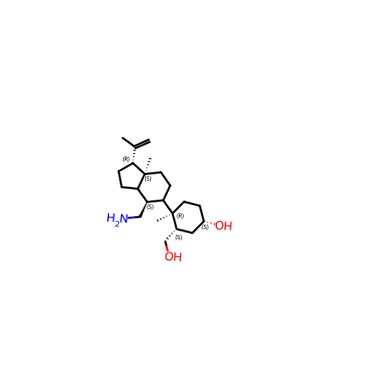 C=C(C)[C@H]1CCC2[C@H](CN)C([C@@]3(C)CC[C@H](O)C[C@@H]3CO)CC[C@@]21C